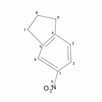 O=[N+]([O-])c1ccc2c(c1)CCC2